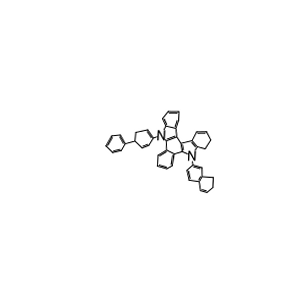 C1=Cc2ccc(-n3c4c(c5c6c7ccccc7n(C7=CCC(c8ccccc8)C=C7)c6c6ccccc6c53)C=CCC4)cc2CC1